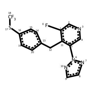 Fc1cncc(-n2nccn2)c1Cc1ccc(SC(F)(F)F)cc1